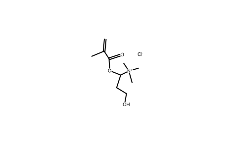 C=C(C)C(=O)OC(CCO)[N+](C)(C)C.[Cl-]